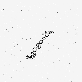 CCCCOc1ccc(C2CCC(C(=O)OC3CCC(C4CC=C(c5ccc(OCC)c(F)c5F)CC4)CC3)CC2)c(F)c1F